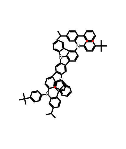 CC(C)c1ccc(-c2ccccc2)c(N(c2ccc(C(C)(C)C)cc2)c2ccc3c4cc5c(cc4n4c6ccccc6c2c34)c2ccc(N(c3ccc(C(C)(C)C)cc3)c3cc(C(C)C)ccc3-c3ccccc3)c3c4ccccc4n5c23)c1